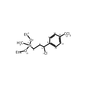 CCO[Si](C)(CCC(Cl)c1ccc(C(Cl)(Cl)Cl)cc1)OCC